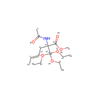 CC=CCC(NC(C)=O)(C(=O)OC)[Si](OCC)(OCC)OCC